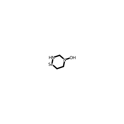 ON1CC[Se]NC1